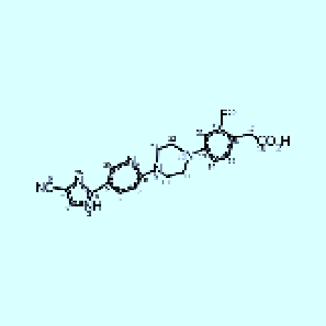 N#Cc1c[nH]c(-c2ccc(N3CCN(c4ccc(CC(=O)O)c(F)c4)CC3)nc2)n1